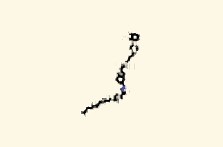 CN(CC(=O)NCCOCCOCCC#N)C(=O)/C=C/c1ccc2sc(C(=O)NCCCCN3CCN(c4cccc(Cl)c4Cl)CC3)cc2c1